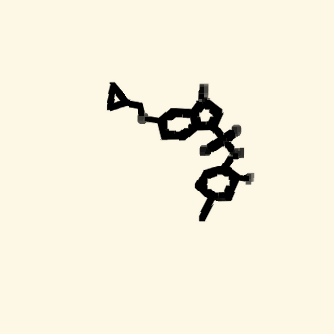 Cc1ccc(NS(=O)(=O)c2c[nH]c3cc(OCC4CC4)ccc23)c(F)c1